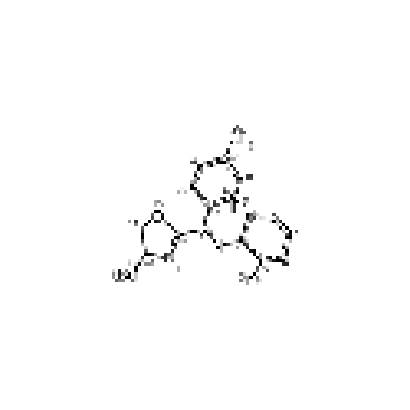 CC(C)c1cccc(C(C)C)c1/N=C(/C1=N[C@@H](C(C)(C)C)CO1)c1ccc(C(F)(F)F)cc1